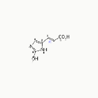 O=C(O)/C=C/c1cnc(O)[nH]1